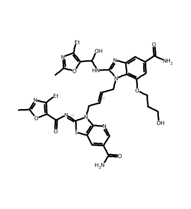 CCc1nc(C)oc1C(=O)/N=c1\sc2cc(C(N)=O)cnc2n1C/C=C/Cn1c(NC(O)c2oc(C)nc2CC)nc2cc(C(N)=O)cc(OCCCO)c21